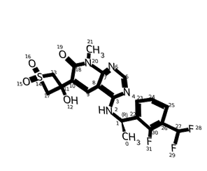 C[C@@H](Nc1ncnc2c1cc(C1(O)CS(=O)(=O)C1)c(=O)n2C)c1cccc(C(F)F)c1F